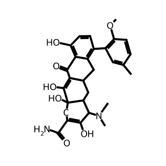 COc1ccc(C)cc1-c1ccc(O)c2c1CC1CC3C(N(C)C)C(O)=C(C(N)=O)CC3(O)C(O)=C1C2=O